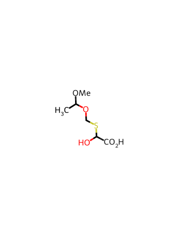 COC(C)OCSC(O)C(=O)O